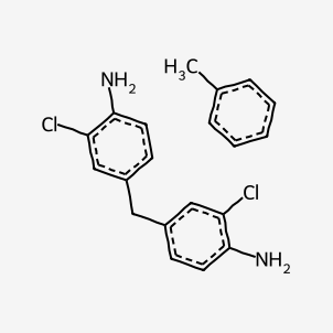 Cc1ccccc1.Nc1ccc(Cc2ccc(N)c(Cl)c2)cc1Cl